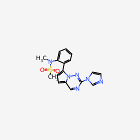 CN(c1ccccc1-c1ccc2cnc(-n3ccnc3)nn12)S(C)(=O)=O